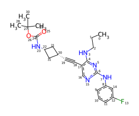 CCCNc1nc(Nc2cccc(F)c2)ncc1C#C[C@H]1C[C@@H](NC(=O)OC(C)(C)C)C1